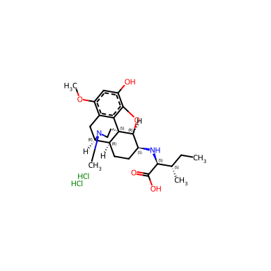 CC[C@H](C)[C@H](N[C@H]1CC[C@H]2[C@H]3Cc4c(OC)cc(O)c5c4[C@@]2(CCN3C)[C@H]1O5)C(=O)O.Cl.Cl